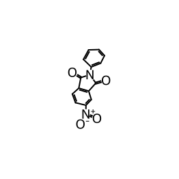 O=C1c2ccc([N+](=O)[O-])cc2C(=O)N1c1ccccc1